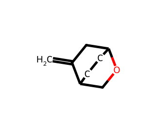 C=C1CC2CCC1CO2